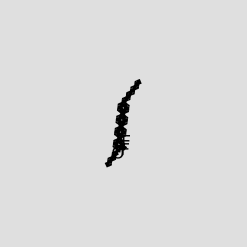 CCCCCCCCc1ccc(-c2ccc(-c3ccc(-c4ccc(OCCCCC)c(F)c4F)cc3)cc2)cc1